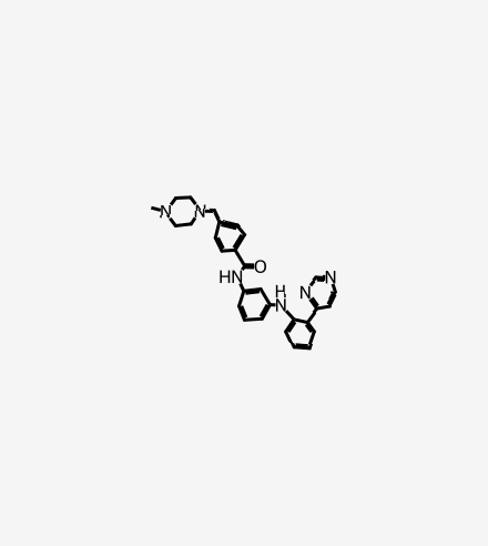 CN1CCN(Cc2ccc(C(=O)Nc3cccc(Nc4ccccc4-c4ccncn4)c3)cc2)CC1